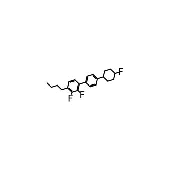 CCCCc1ccc(-c2ccc(C3CCC(F)CC3)cc2)c(F)c1F